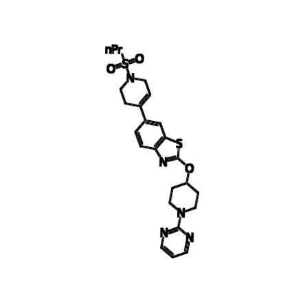 CCCS(=O)(=O)N1CC=C(c2ccc3nc(OC4CCN(c5ncccn5)CC4)sc3c2)CC1